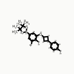 CC1(C)OB(c2cc(F)c(F)c(OC3CC(c4ccc(F)cc4)C3)c2)OC1(C)C